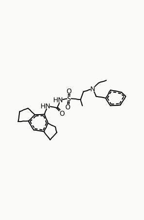 CCN(Cc1ccccc1)CC(C)S(=O)(=O)NC(=O)Nc1c2c(cc3c1CCC3)CCC2